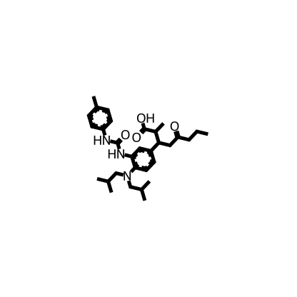 CCCC(=O)CC(c1ccc(N(CC(C)C)CC(C)C)c(NC(=O)Nc2ccc(C)cc2)c1)C(C)C(=O)O